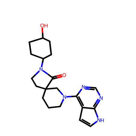 O=C1N(C2CCC(O)CC2)CCC12CCCN(c1ncnc3[nH]ccc13)C2